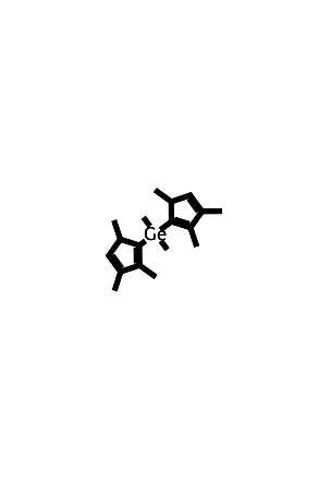 CC1=CC(C)[C]([Ge]([CH3])([CH3])[C]2=C(C)C(C)=CC2C)=C1C